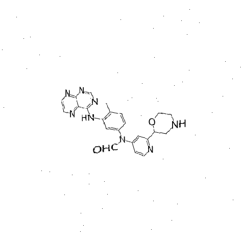 Cc1ccc(N(C=O)c2ccnc(C3CNCCO3)c2)cc1Nc1ncnc2nccnc12